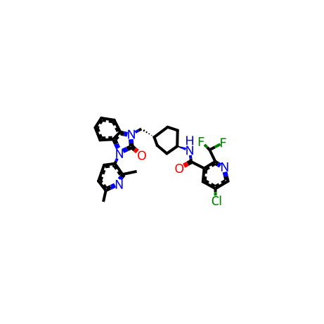 Cc1ccc(-n2c(=O)n(C[C@H]3CC[C@H](NC(=O)c4cc(Cl)cnc4C(F)F)CC3)c3ccccc32)c(C)n1